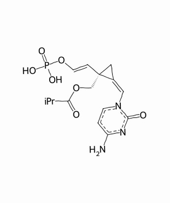 CC(C)C(=O)OC[C@]1(/C=C/OP(=O)(O)O)C/C1=C/n1ccc(N)nc1=O